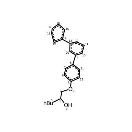 CCCCC(O)COc1ccc(-c2cccc(-c3ccccc3)c2)cc1